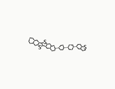 c1ccc2cc3c(cc2c1)sc1c2cc4ccc(-c5ccc(-c6ccc(-c7ccc8sccc8c7)cc6)cc5)cc4cc2sc31